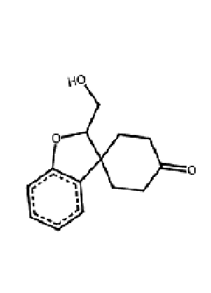 O=C1CCC2(CC1)c1ccccc1OC2CO